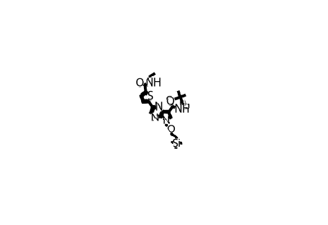 CCNC(=O)c1ccc(-c2cnc3c(n2)c(C(=O)N[C@@H](C)C(C)(C)C)cn3COCC[Si](C)(C)C)s1